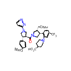 COC[C@H]1CN(C(=O)[C@@H]2CN(c3cccnn3)C[C@H]2c2ccc(OC)cc2)C[C@@H]1c1ccc(C(F)(F)F)cc1N1CCC(C(=O)O)CC1